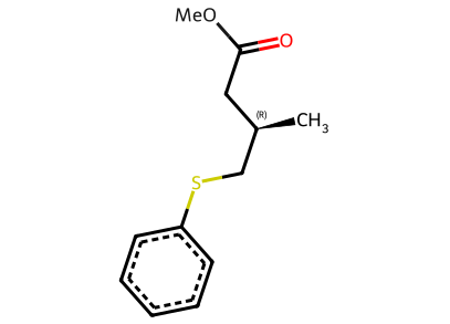 COC(=O)C[C@@H](C)CSc1ccccc1